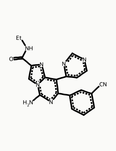 CCNC(=O)c1cn2c(N)nc(-c3cccc(C#N)c3)c(-c3ccncn3)c2n1